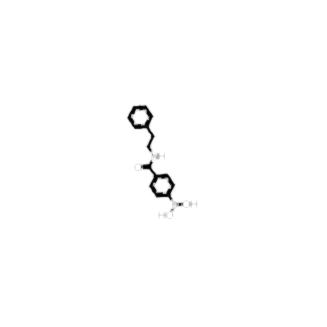 O=C(NCCc1ccccc1)c1ccc(B(O)O)cc1